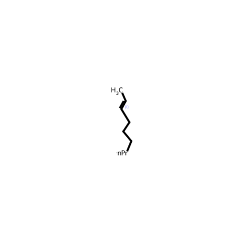 C/C=C/CCC[CH]CC